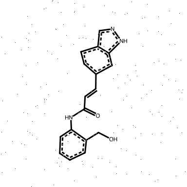 O=C(/C=C/c1ccc2cn[nH]c2c1)Nc1ccccc1CO